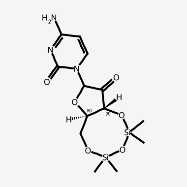 C[Si]1(C)OC[C@H]2OC(n3ccc(N)nc3=O)C(=O)[C@@H]2O[Si](C)(C)O1